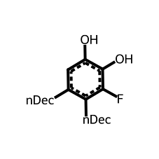 CCCCCCCCCCc1cc(O)c(O)c(F)c1CCCCCCCCCC